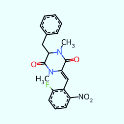 CN1C(=O)C(Cc2ccccc2)N(C)C(=O)C1=Cc1c(F)cccc1[N+](=O)[O-]